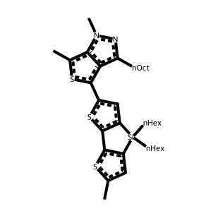 CCCCCCCCc1nn(C)c2c(C)sc(-c3cc4c(s3)-c3sc(C)cc3[Si]4(CCCCCC)CCCCCC)c12